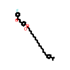 C=C(C)c1ccc(CCCCCCCCCCCCCCCCCCC(=O)Oc2ccc(C=CC(=O)c3ccc(F)cc3)cc2)cc1